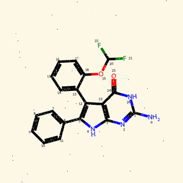 Nc1nc2[nH]c(-c3ccccc3)c(-c3ccccc3OC(F)F)c2c(=O)[nH]1